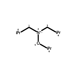 CC(C)C[N+](CC(C)C)OC(C)C